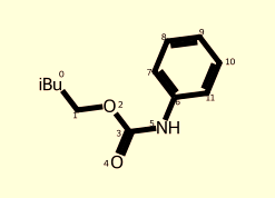 CCC(C)COC(=O)Nc1ccccc1